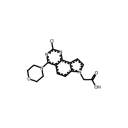 O=C(O)Cn1ccc2c3nc(Cl)nc(N4CCOCC4)c3ccc21